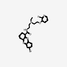 CCN(CCNC(=O)c1cccc2nc3cc(Br)ccc3nc12)CCOc1cccnc1F